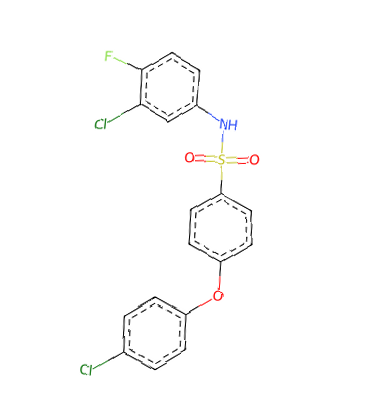 O=S(=O)(Nc1ccc(F)c(Cl)c1)c1ccc(Oc2ccc(Cl)cc2)cc1